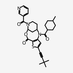 CC1CCC(C(=O)N2c3cc(C#CC(C)(C)C)sc3C(=O)OC3CC2CCN3C(=O)c2cccnc2)CC1